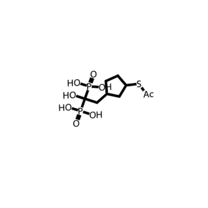 CC(=O)SC1CCC(CC(O)(P(=O)(O)O)P(=O)(O)O)C1